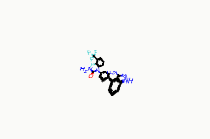 NC(=O)N(c1ccc(-c2cccc3[nH]nc(N)c23)cc1)c1cccc(C(F)(F)F)c1F